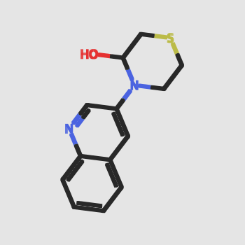 OC1CSCCN1c1cnc2ccccc2c1